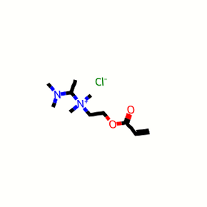 C=CC(=O)OCC[N+](C)(C)C(C)N(C)C.[Cl-]